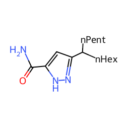 CCCCCCC(CCCCC)c1cc(C(N)=O)[nH]n1